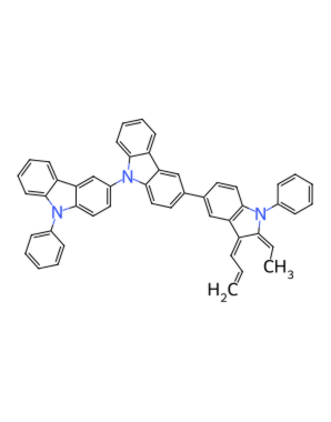 C=C/C=c1\c(=C/C)n(-c2ccccc2)c2ccc(-c3ccc4c(c3)c3ccccc3n4-c3ccc4c(c3)c3ccccc3n4-c3ccccc3)cc12